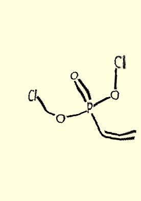 C=CP(=O)(OCl)OCl